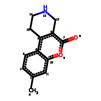 Cc1ccc2c3c(c(=O)oc2c1)CNCC3